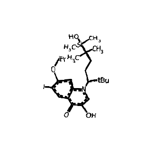 CC(C)Oc1cc2c(cc1I)c(=O)c(O)cn2C(CCC(C)(C)[Si](C)(C)O)C(C)(C)C